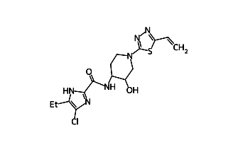 C=Cc1nnc(N2CCC(NC(=O)c3nc(Cl)c(CC)[nH]3)C(O)C2)s1